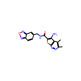 Cc1nnc2sc(C(=O)NCc3ccc4nonc4c3)c(N)c2c1C